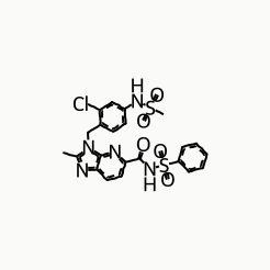 Cc1nc2ccc(C(=O)NS(=O)(=O)c3ccccc3)nc2n1Cc1ccc(NS(C)(=O)=O)cc1Cl